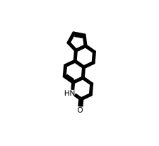 O=C1CCC2C(=CCC3C4CC=CC4CCC23)N1